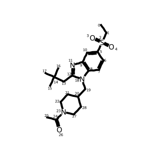 CCS(=O)(=O)c1ccc2c(c1)nc(CC(C)(C)C)n2CC1CCN(C(C)=O)CC1